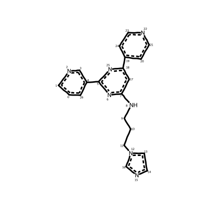 c1cncc(-c2nc(NCCCn3ccnc3)cc(-c3ccncc3)n2)c1